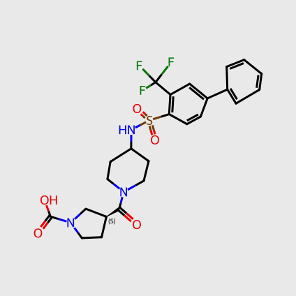 O=C(O)N1CC[C@H](C(=O)N2CCC(NS(=O)(=O)c3ccc(-c4ccccc4)cc3C(F)(F)F)CC2)C1